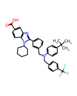 CC(C)(C)c1ccc(N(Cc2ccc(C(F)(F)F)cc2)Cc2cccc(-c3nc4cc(C(=O)O)ccc4n3C3CCCCC3)c2)cc1